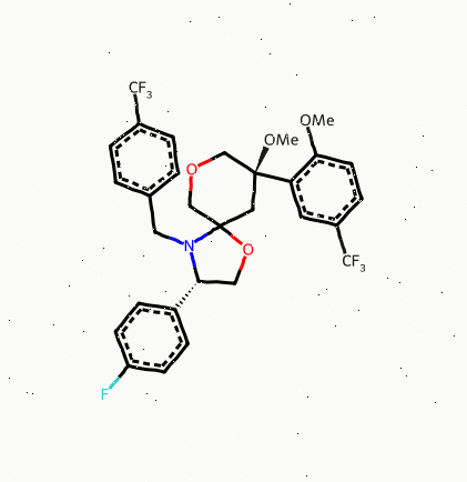 COc1ccc(C(F)(F)F)cc1[C@@]1(OC)COCC2(C1)OC[C@H](c1ccc(F)cc1)N2Cc1ccc(C(F)(F)F)cc1